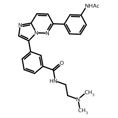 CC(=O)Nc1cccc(-c2ccc3ncc(-c4cccc(C(=O)NCCN(C)C)c4)n3n2)c1